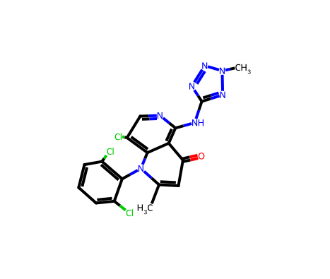 Cc1cc(=O)c2c(Nc3nnn(C)n3)ncc(Cl)c2n1-c1c(Cl)cccc1Cl